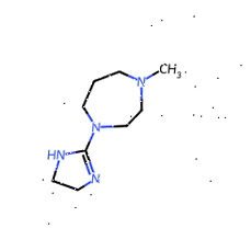 CN1CCCN(C2=NCCN2)CC1